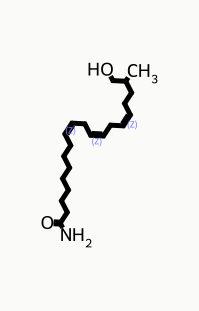 CC(CO)CC/C=C\C/C=C\C/C=C\CCCCCCCC(N)=O